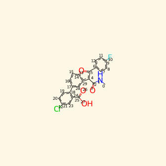 CNC(=O)c1c(-c2ccc(F)cc2)oc2ccc(-c3ccc(Cl)cc3C(=O)O)cc12